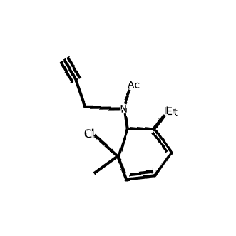 C#CCN(C(C)=O)C1C(CC)=CC=CC1(C)Cl